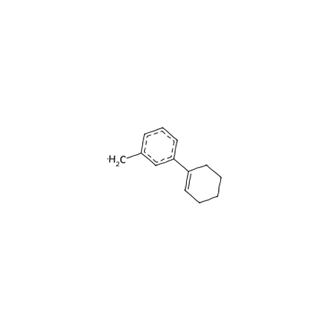 [CH2]c1cccc(C2=CCCCC2)c1